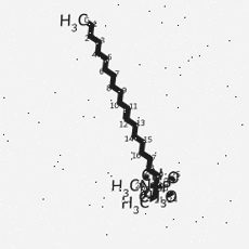 CCCCCCCCCCCC=CCCCCCCCC(CC)(P(=O)=O)[N+](C)(C)C